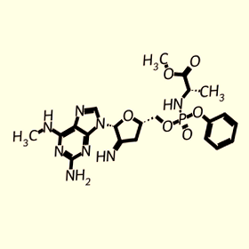 CNc1nc(N)nc2c1ncn2[C@@H]1O[C@H](CO[P@@](=O)(N[C@@H](C)C(=O)OC)Oc2ccccc2)CC1=N